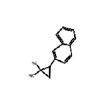 N#CC1(C#N)CC1c1ccc2ccccc2c1